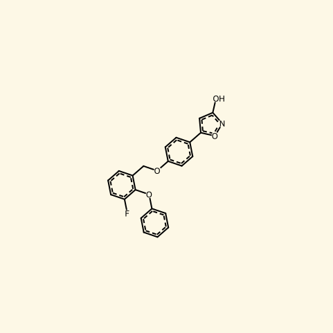 Oc1cc(-c2ccc(OCc3cccc(F)c3Oc3ccccc3)cc2)on1